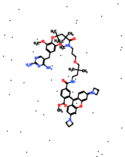 COC(=O)c1ccc(C(=O)NCCC(C)(C)COCCCNC(=O)C(C)(C)CC(C)(C)Oc2c(OC)cc(Cc3cnc(N)nc3N)cc2OC)cc1-c1c2ccc(=[N+]3CCC3)cc-2oc2cc(N3CCC3)ccc12